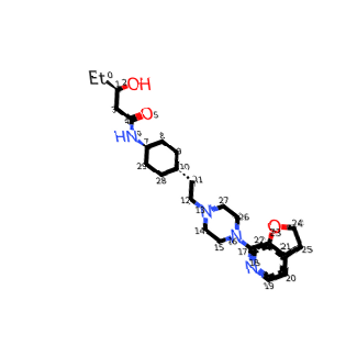 CC[C@@H](O)CC(=O)N[C@H]1CC[C@H](CCN2CCN(c3nccc4c3OCC4)CC2)CC1